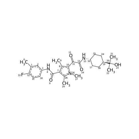 Cc1cc(NC(=O)c2c(C)c(C(=O)C(=O)N[C@H]3CC[C@H](C(C)(C)O)CC3)n(C)c2C)ccc1F